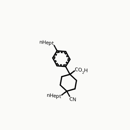 CCCCCCCc1ccc(C2(C(=O)O)CCC(C#N)(CCCCCCC)CC2)cc1